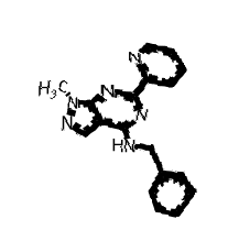 Cn1ncc2c(NCc3ccccc3)nc(-c3ccccn3)nc21